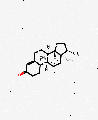 C[C@H]1CC[C@H]2[C@@H]3CCC4=CC(=O)CC[C@]4(C)[C@H]3CC[C@]12C